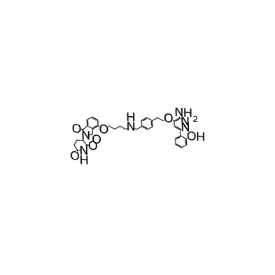 Nc1nnc(-c2ccccc2O)cc1OCCc1ccc(CNCCCCOc2cccc3c2C(=O)N(C2CCC(=O)NC2=O)C3=O)cc1